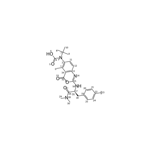 Cc1c(N(C(=O)O)C(C)(C)C)ccc2nc(N[C@@H](Cc3ccc(I)cc3)C(=O)N(C)C)oc(=O)c12